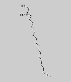 CCCCCCCCCCCCCCCCC[C@H](O)CC